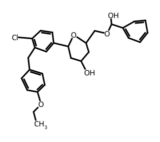 CCOc1ccc(Cc2cc(C3CC(O)CC(COC(O)c4ccccc4)O3)ccc2Cl)cc1